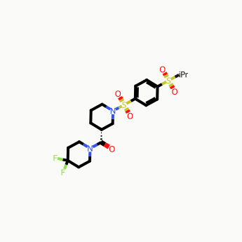 CC(C)S(=O)(=O)c1ccc(S(=O)(=O)N2CCC[C@@H](C(=O)N3CCC(F)(F)CC3)C2)cc1